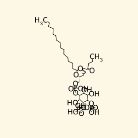 CCCCCCCCCCCCCCCC(=O)O[C@@H](COP(=O)(O)OC1C(O)[C@@H](O)C(OP(=O)(O)O)[C@@H](OP(=O)(O)O)[C@H]1O)CSC(=O)CCC